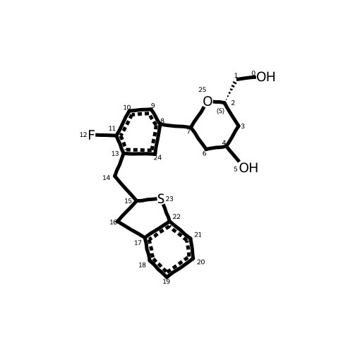 OC[C@@H]1CC(O)CC(c2ccc(F)c(CC3Cc4ccccc4S3)c2)O1